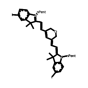 CCCCCN1/C(=C/C=C2C=C(/C=C/C3=[N+](CCCCC)c4ccc(I)cc4C3(C)C)COC/2)C(C)(C)c2cc(I)ccc21